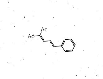 CC(=O)C(=CC=Cc1ccccc1)C(C)=O